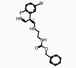 N=C/C(=C\NCCNC(=O)OCc1ccccc1)c1cc(Br)ccc1F